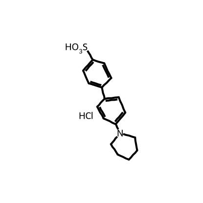 Cl.O=S(=O)(O)c1ccc(-c2ccc(N3CCCCC3)cc2)cc1